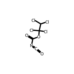 O=C=NC(=O)OC(Cl)(Cl)C(Cl)Cl